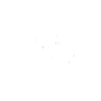 CC(C)(Cc1nc2cc(Br)sc2c(=O)[nH]1)NC(=O)OC(C)(C)C